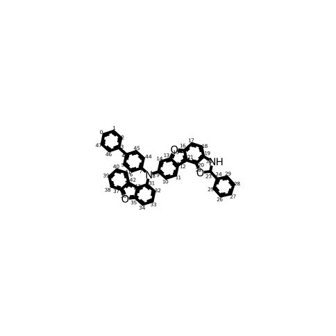 c1ccc(-c2ccc(N(c3ccc4c(c3)oc3ccc5c(c34)OC(c3ccccc3)N5)c3cccc4oc5ccccc5c34)cc2)cc1